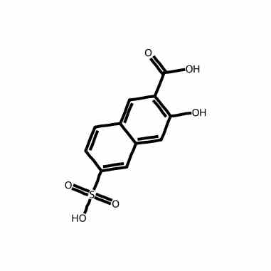 O=C(O)c1cc2ccc(S(=O)(=O)O)cc2cc1O